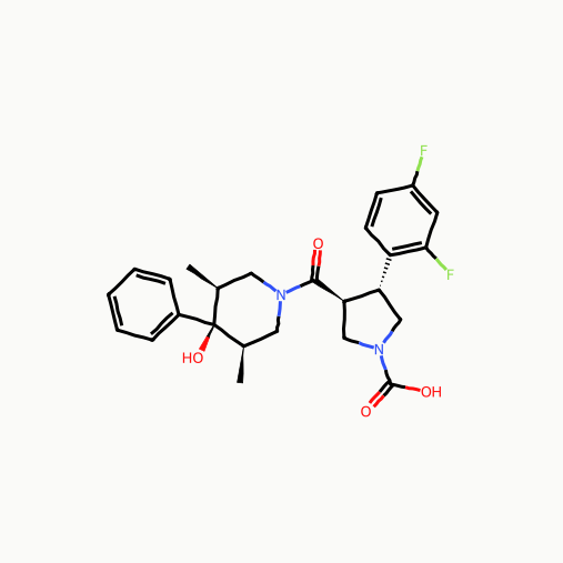 C[C@@H]1CN(C(=O)[C@@H]2CN(C(=O)O)C[C@H]2c2ccc(F)cc2F)C[C@H](C)[C@@]1(O)c1ccccc1